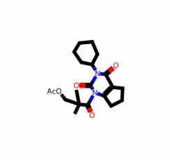 CC(=O)OCC(C)(C)C(=O)n1c2c(c(=O)n(C3CCCCC3)c1=O)CCC2